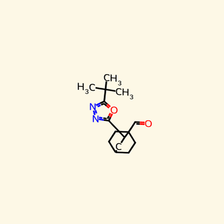 CC(C)(C)c1nnc(C2CC3CCC2(C=O)CC3)o1